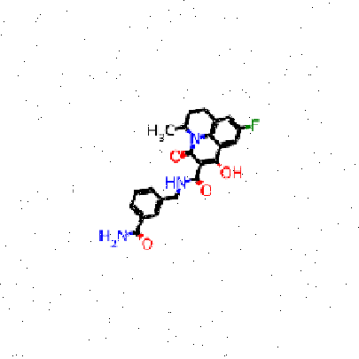 CC1CCc2cc(F)cc3c(O)c(C(=O)NCc4cccc(C(N)=O)c4)c(=O)n1c23